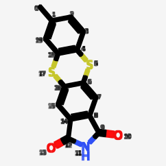 Cc1ccc2sc3cc4c(=O)[nH]c(=O)c4cc3sc2c1